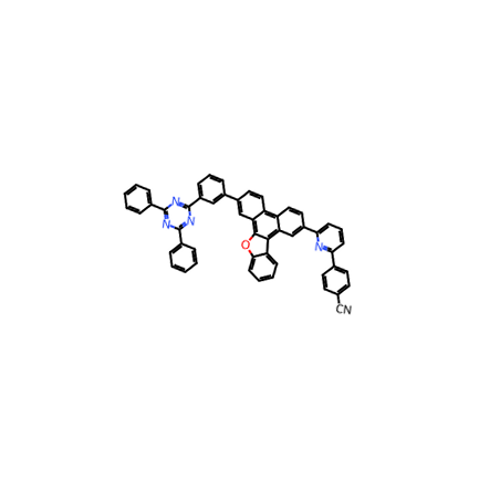 N#Cc1ccc(-c2cccc(-c3ccc4c5ccc(-c6cccc(-c7nc(-c8ccccc8)nc(-c8ccccc8)n7)c6)cc5c5oc6ccccc6c5c4c3)n2)cc1